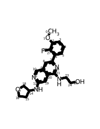 COc1cccc(-c2cc3cnc(NC4CCOC4)cc3c(NCCO)n2)c1F